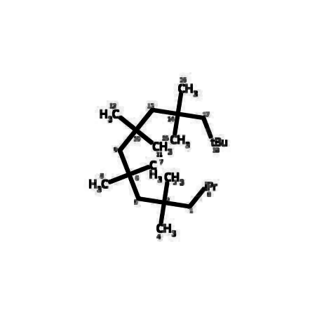 CC(C)CC(C)(C)CC(C)(C)CC(C)(C)CC(C)(C)CC(C)(C)C